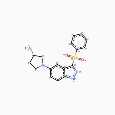 N[C@H]1CCN(c2ccc3[nH]nc(S(=O)(=O)c4ccccc4)c3c2)C1